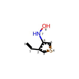 C=Cc1cscc1NO